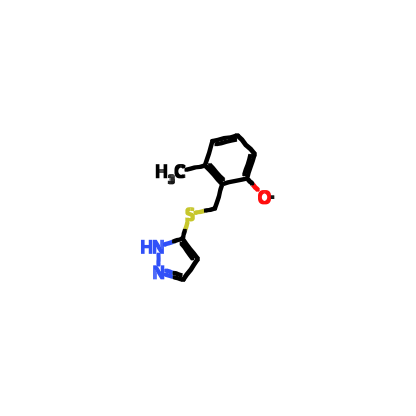 Cc1cccc([O])c1CSc1ccn[nH]1